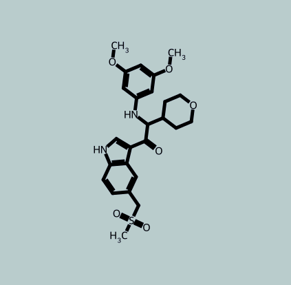 COc1cc(NC(C(=O)c2c[nH]c3ccc(CS(C)(=O)=O)cc23)C2CCOCC2)cc(OC)c1